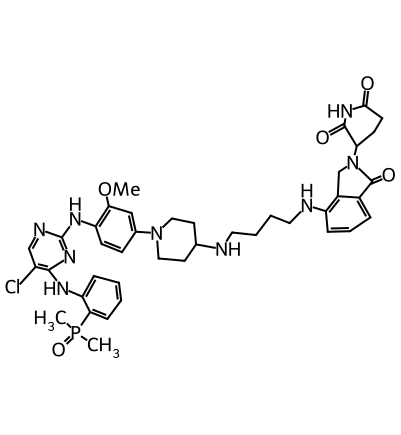 COc1cc(N2CCC(NCCCCNc3cccc4c3CN(C3CCC(=O)NC3=O)C4=O)CC2)ccc1Nc1ncc(Cl)c(Nc2ccccc2P(C)(C)=O)n1